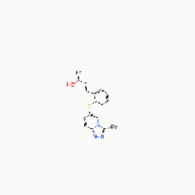 CCC(O)C=Cc1ccccc1Sc1ccc2nnc(C(C)C)n2c1